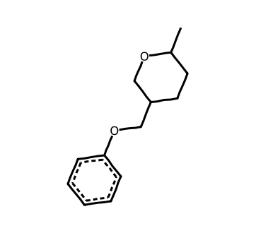 CC1CCC(COc2ccccc2)CO1